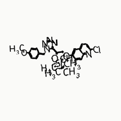 COc1ccc(Cn2nnnc2C(COc2ccc3nc(Cl)ccc3c2)O[Si](C)(C)C(C)(C)C)cc1